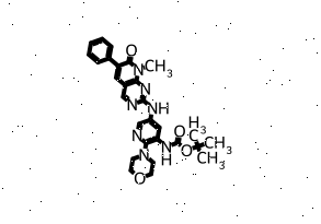 Cn1c(=O)c(-c2ccccc2)cc2cnc(Nc3cnc(N4CCOCC4)c(NC(=O)OC(C)(C)C)c3)nc21